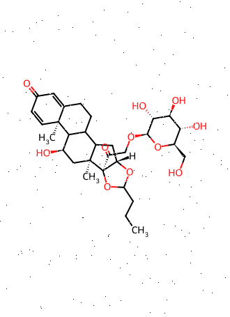 CCCC1O[C@H]2CC3C4CCC5=CC(=O)C=C[C@]5(C)C4[C@H](O)C[C@]3(C)[C@]2(C(=O)CO[C@@H]2O[C@H](CO)[C@@H](O)[C@H](O)[C@H]2O)O1